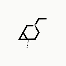 CCN1CC[C@@]2(C)CC2C1